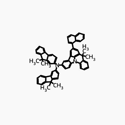 CC1(C)c2ccccc2-c2cc(N(c3ccc4c(c3)C(C)(C)c3ccccc3-4)c3ccc4c(c3)c3cc(-c5cccc6ccccc56)cc5c3n4-c3ccccc3C5(C)C)ccc21